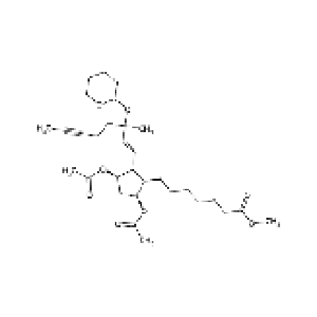 CC#CCCC(C)(/C=C/[C@@H]1[C@@H](CCCCCCC(=O)OC)[C@@H](OC(C)=O)C[C@H]1OC(C)=O)OC1CCCCO1